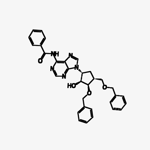 O=C(Nc1ncnc2c1ncn2[C@@H]1C[C@H](COCc2ccccc2)[C@@H](OCc2ccccc2)[C@H]1O)c1ccccc1